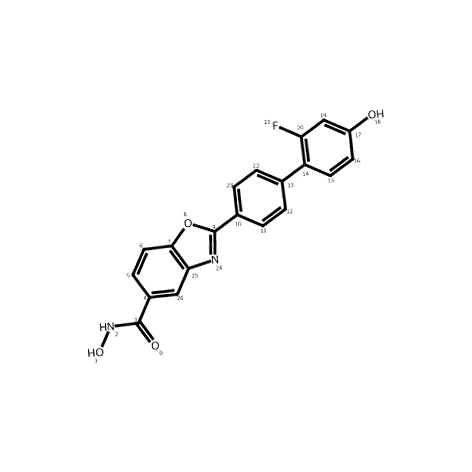 O=C(NO)c1ccc2oc(-c3ccc(-c4ccc(O)cc4F)cc3)nc2c1